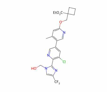 CCOC(=O)C1(COc2cc(C)c(-c3cnc(-c4nc(C(F)(F)F)cn4CO)c(Cl)c3)cn2)CCC1